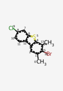 Cc1cc2c(sc3cc(Cl)ccc32)c(C)c1Br